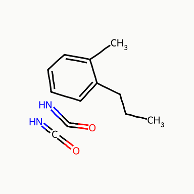 CCCc1ccccc1C.N=C=O.N=C=O